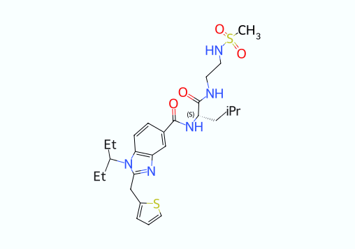 CCC(CC)n1c(Cc2cccs2)nc2cc(C(=O)N[C@@H](CC(C)C)C(=O)NCCNS(C)(=O)=O)ccc21